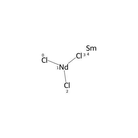 [Cl][Nd]([Cl])[Cl].[Sm]